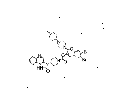 CN1CCC(N2CCN(C(=O)[C@@H](Cc3ccc(Br)c(Br)c3)OC(=O)N3CCC(n4c(=O)[nH]c5c6ccccc6ncc54)CC3)CC2)CC1